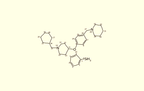 [SiH3]c1ccccc1.c1cc(OC2CCN(CC3CCCCC3)CC2)ccc1CN1CCCCC1